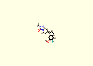 CCNC(=O)N1CCC(C2CCc3cc(F)c(OC)cc32)CC1